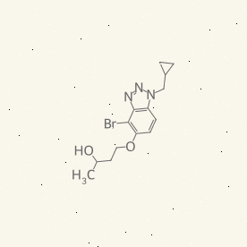 CC(O)CCOc1ccc2c(nnn2CC2CC2)c1Br